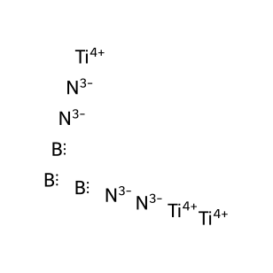 [B].[B].[B].[N-3].[N-3].[N-3].[N-3].[Ti+4].[Ti+4].[Ti+4]